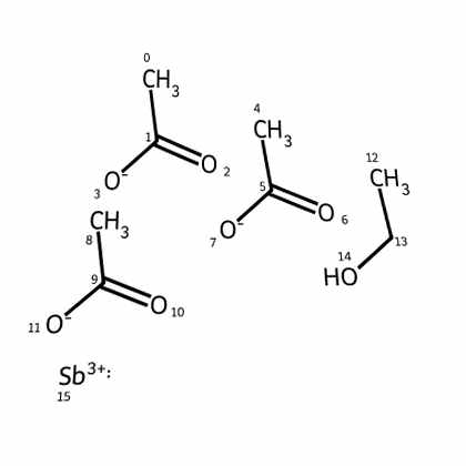 CC(=O)[O-].CC(=O)[O-].CC(=O)[O-].CCO.[Sb+3]